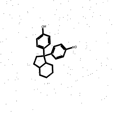 O=Nc1ccc(C2(c3ccc(O)cc3)CCC3CCCCC32)cc1